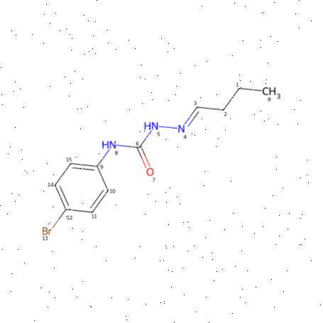 CCCC=NNC(=O)Nc1ccc(Br)cc1